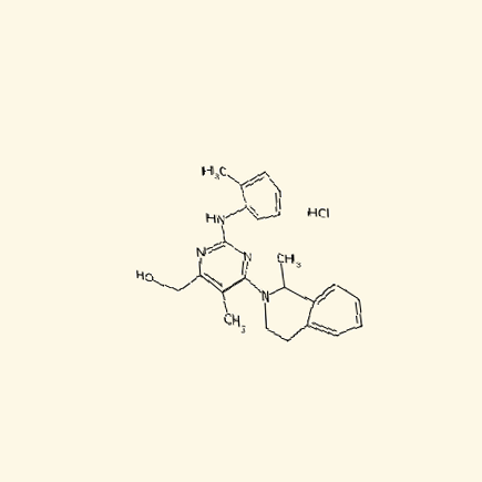 Cc1ccccc1Nc1nc(CO)c(C)c(N2CCc3ccccc3C2C)n1.Cl